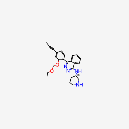 CC#Cc1ccc(-c2nnc(N[C@@H]3CCCNC3)c3ccccc23)c(OCOCC)c1